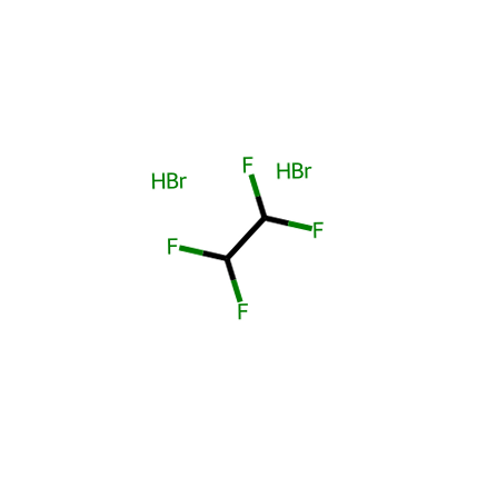 Br.Br.FC(F)C(F)F